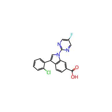 O=C(O)c1ccc2c(-c3ccccc3Cl)cn(-c3ncc(F)cn3)c2c1